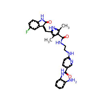 Cc1[nH]c(C=C2C(=O)Nc3ccc(F)cc32)c(C)c1C(=O)NCCNc1ccc(C(=O)Nc2ccccc2N)cn1